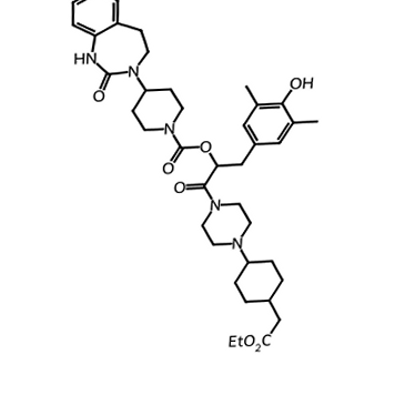 CCOC(=O)CC1CCC(N2CCN(C(=O)C(Cc3cc(C)c(O)c(C)c3)OC(=O)N3CCC(N4CCc5ccccc5NC4=O)CC3)CC2)CC1